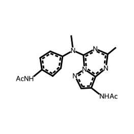 CC(=O)Nc1ccc(N(C)c2nc(C)nc3c(NC(C)=O)cnn23)cc1